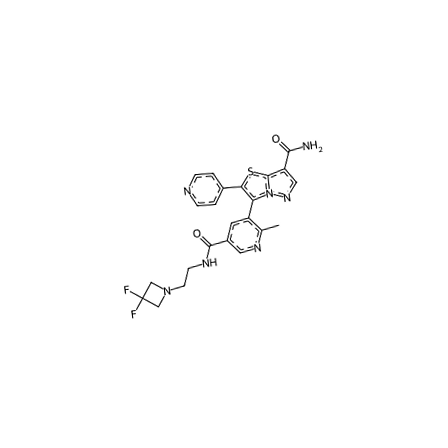 Cc1ncc(C(=O)NCCN2CC(F)(F)C2)cc1-c1c(-c2ccncc2)sc2c(C(N)=O)cnn12